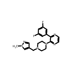 Cn1cc(CN2CCN(c3nccnc3-c3cc(F)cc(F)c3)CC2)cn1